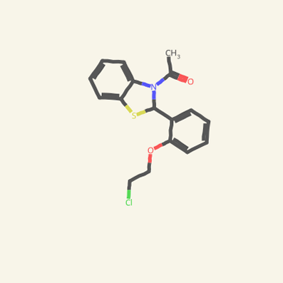 CC(=O)N1c2ccccc2SC1c1ccccc1OCCCl